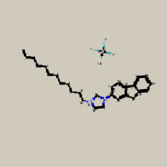 CCCCCCCCCCCC[NH+]1C=CN(c2ccc3c(c2)Cc2ccccc2-3)C1.F[B-](F)(F)F